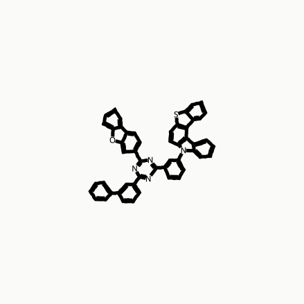 c1ccc(-c2cccc(-c3nc(-c4cccc(-n5c6ccccc6c6c7c(ccc65)sc5ccccc57)c4)nc(-c4ccc5c(c4)oc4ccccc45)n3)c2)cc1